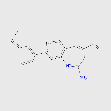 C=CC1=Cc2ccc(/C(C=C)=C/C=C\C)cc2N=C(N)C1